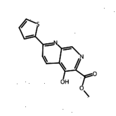 COC(=O)c1ncc2nc(-c3cccs3)ccc2c1O